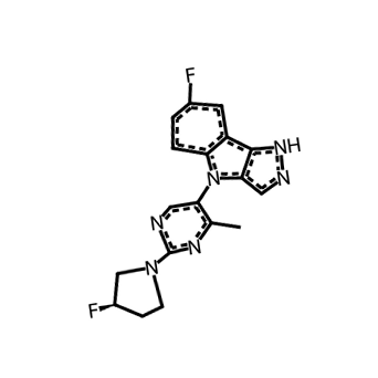 Cc1nc(N2CC[C@@H](F)C2)ncc1-n1c2ccc(F)cc2c2[nH]ncc21